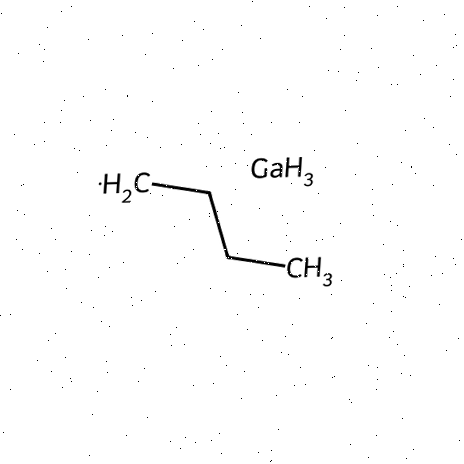 [CH2]CCC.[GaH3]